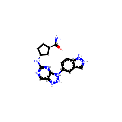 NC(=O)[C@@H]1CC[C@@H](Nc2ncc3nnn(-c4ccc5[nH]ncc5c4)c3n2)C1